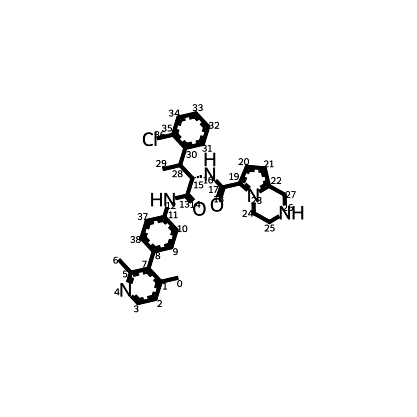 Cc1ccnc(C)c1-c1ccc(NC(=O)[C@@H](NC(=O)c2ccc3n2CCNC3)C(C)c2ccccc2Cl)cc1